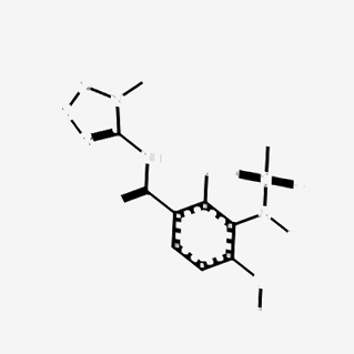 CCN(c1c(OC(F)(F)F)ccc(C(=O)NC2=NNNN2C)c1Cl)S(C)(=O)=O